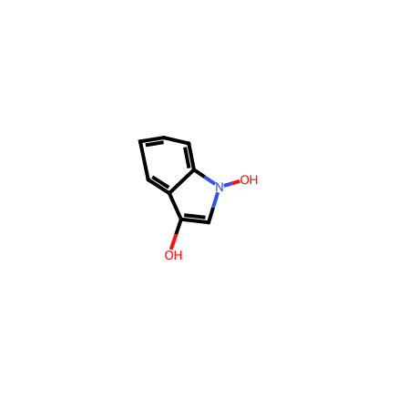 Oc1cn(O)c2ccccc12